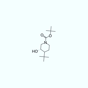 CC(C)(C)OC(=O)N1CCC(C(C)(C)C)[C@H](O)C1